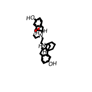 Oc1ccc2c(c1)C13CCCC[C@@H]1[C@H](C2)N(CCN1CC[C@]24CCCC[C@H]2[C@H]1Cc1ccc(O)cc14)CC3